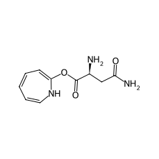 NC(=O)C[C@H](N)C(=O)OC1=CC=CC=CN1